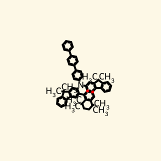 CC1(C)CCC(C)(C)c2c(-c3cc4c(cc3N(c3ccc(-c5ccc(-c6ccccc6)cc5)cc3)c3ccc5c(c3)C(C)(C)c3ccccc3-5)C(C)(C)c3ccccc3-4)cccc21